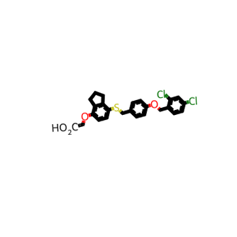 O=C(O)COc1ccc(SCc2ccc(OCc3ccc(Cl)cc3Cl)cc2)c2c1CCC2